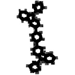 c1ccc2c(c1)c1cc(-c3ccc(-c4ccc5c(c4)c4ccccc4n5-c4ncncn4)cc3)ccc1n2-c1ncncn1